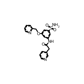 NS(=O)(=O)c1cc(NC(=O)Cc2cccnc2)cc(OCc2ccccn2)c1